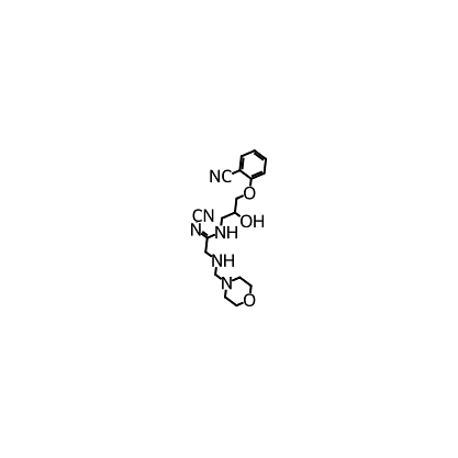 N#CN=C(CNCN1CCOCC1)NCC(O)COc1ccccc1C#N